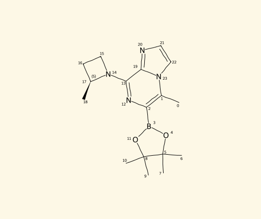 Cc1c(B2OC(C)(C)C(C)(C)O2)nc(N2CC[C@@H]2C)c2nccn12